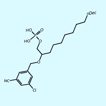 CCCCCCCCCCCCCCCCCC(COP(=O)(O)O)OCc1cc(Cl)cc(C#N)c1